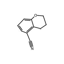 N#Cc1cccc2c1[C]CCO2